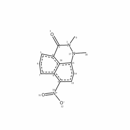 CN1C(=O)c2cccc3c([N+](=O)[O-])ccc(c23)N1C